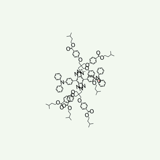 CC(C)CCOC(=O)c1ccc(OCC(COc2ccc(C(=O)OCCC(C)C)cc2)(COc2ccc(C(=O)OCCC(C)C)cc2)Cn2nc3c(-c4ccc(N(c5ccccc5)c5ccccc5)cc4)c4n[n+](CC(COc5ccc(C(=O)OCCC(C)C)cc5)(COc5ccc(C(=O)OCCC(C)C)cc5)COc5ccc(C(=O)OCCC(C)C)cc5)[n-]c4c(-c4ccc(N(c5ccccc5)c5ccccc5)cc4)c3n2)cc1